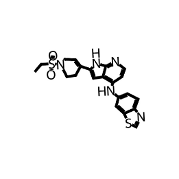 CCS(=O)(=O)N1CC=C(c2cc3c(Nc4ccc5ncsc5c4)ccnc3[nH]2)CC1